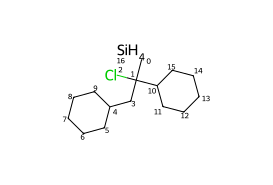 CC(Cl)(CC1CCCCC1)C1CCCCC1.[SiH4]